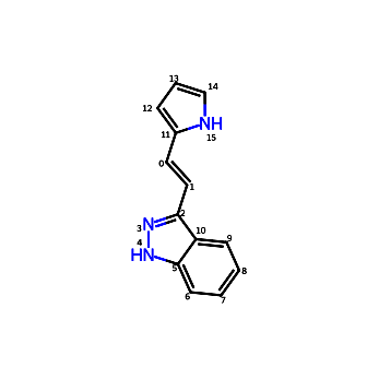 C(=C\c1n[nH]c2ccccc12)/c1ccc[nH]1